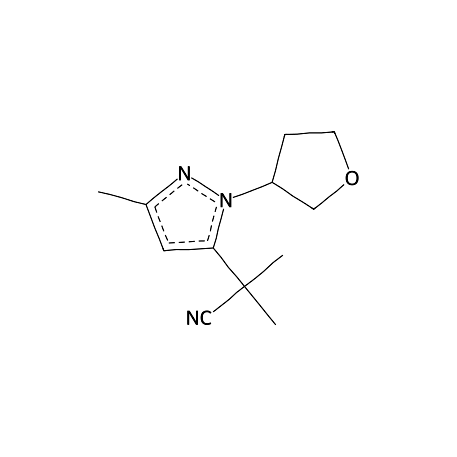 Cc1cc(C(C)(C)C#N)n(C2CCOC2)n1